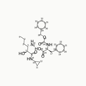 CCC[C@H](N)[C@H](O)C(=O)NC1CC1.O=C(N[C@@H](Cc1ccccc1)C(=O)O)OCc1ccccc1